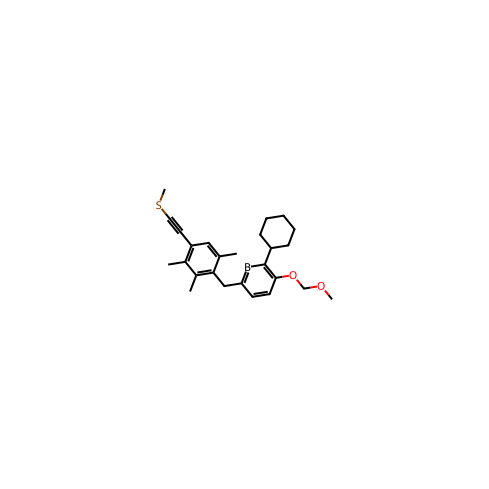 COCOc1ccc(Cc2c(C)cc(C#CSC)c(C)c2C)bc1C1CCCCC1